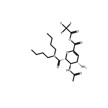 CCCCN(CCCC)C(=O)[C@@H]1OC(C(=O)OC(=O)C(F)(F)F)=C[C@H](N)[C@H]1NC(C)=O